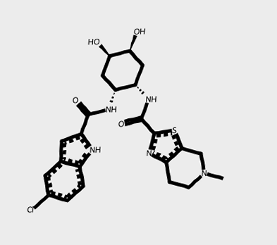 CN1CCc2nc(C(=O)N[C@H]3C[C@H](O)[C@H](O)C[C@H]3NC(=O)c3cc4cc(Cl)ccc4[nH]3)sc2C1